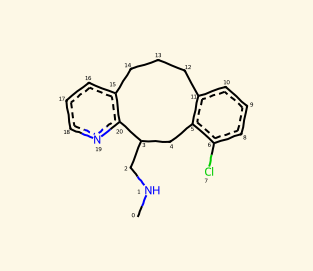 CNCC1Cc2c(Cl)cccc2CCCc2cccnc21